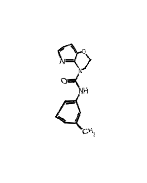 Cc1cccc(NC(=O)N2CCOc3cccnc32)c1